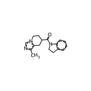 Cc1ncn2c1CC(C(=O)N1CCc3ccccc31)CC2